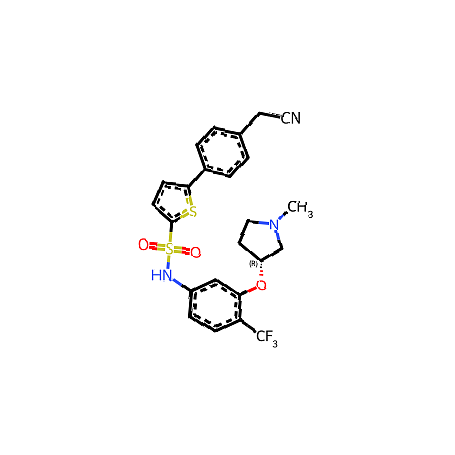 CN1CC[C@@H](Oc2cc(NS(=O)(=O)c3ccc(-c4ccc(CC#N)cc4)s3)ccc2C(F)(F)F)C1